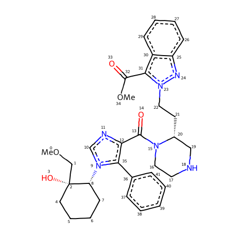 COC[C@]1(O)CCCC[C@H]1n1cnc(C(=O)N2CCNC[C@H]2CCn2nc3ccccc3c2C(=O)OC)c1-c1ccccc1